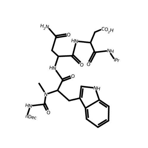 CCCCCCCCCCNC(=O)N(C)C(Cc1c[nH]c2ccccc12)C(=O)NC(CC(N)=O)C(=O)NC(CC(=O)O)C(=O)NC(C)C